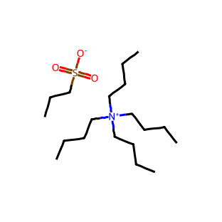 CCCC[N+](CCCC)(CCCC)CCCC.CCCS(=O)(=O)[O-]